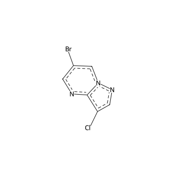 Clc1cnn2cc(Br)cnc12